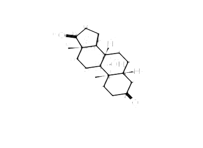 C[C@]12CCC(=O)C[C@H]1CC[C@H]1[C@]3(C)CCC(=O)[C@@]3(C)CC[C@@]12O